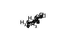 CN(C(=O)Cc1ccc(Cl)c(Cl)c1)C(CN1CCCC1)c1ccc(OCCC[N+](C)(C)Cc2ccccc2)cc1